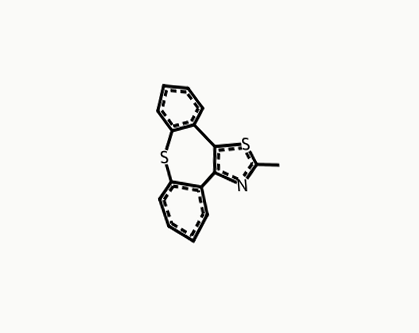 Cc1nc2c(s1)-c1ccccc1Sc1ccccc1-2